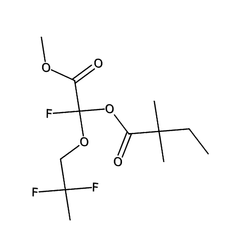 CCC(C)(C)C(=O)OC(F)(OCC(C)(F)F)C(=O)OC